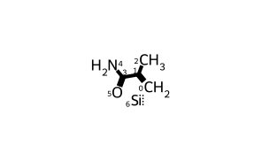 C=C(C)C(N)=O.[Si]